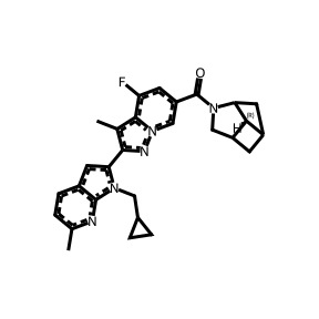 Cc1ccc2cc(-c3nn4cc(C(=O)N5CC6CC7CC5[C@H]76)cc(F)c4c3C)n(CC3CC3)c2n1